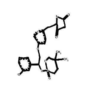 CC1(C)CCP(=O)(OC(COc2ccc(CC3SC(=O)CC3=O)cc2)c2cccc(Cl)c2)OC1